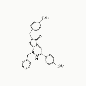 COc1ccc(Cc2nc3c(Cc4ccccc4)[nH]c(-c4ccc(OC)cc4)cn-3c2=O)cc1